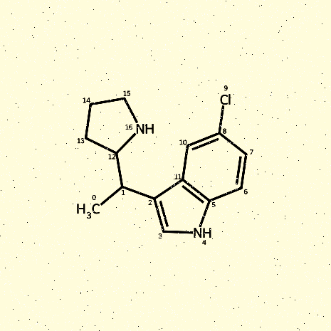 CC(c1c[nH]c2ccc(Cl)cc12)C1CCCN1